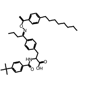 C=C(O/N=C(\CCC)c1ccc(CC(NC(=O)c2ccc(C(C)(C)C)cc2)C(=O)O)cc1)c1ccc(CCCCCCCC)cc1